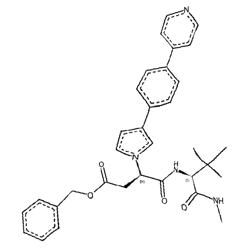 CNC(=O)[C@@H](NC(=O)[C@@H](CC(=O)OCc1ccccc1)n1ccc(-c2ccc(-c3ccncc3)cc2)c1)C(C)(C)C